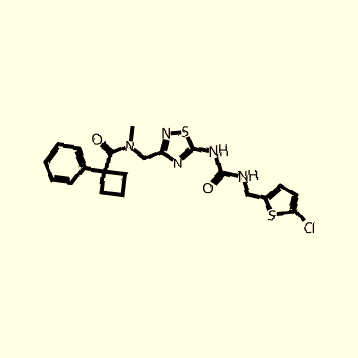 CN(Cc1nsc(NC(=O)NCc2ccc(Cl)s2)n1)C(=O)C1(c2ccccc2)CCC1